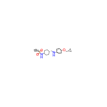 CC(C)(C)S(=O)(=O)N[C@H]1CC[C@H](CNc2ccc(OCC3CC3)cc2)CC1